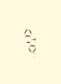 COc1ccc2c(=O)n(-c3ccc(F)cc3F)c(=O)oc2c1